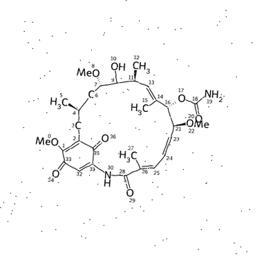 COC1=C2C[C@@H](C)C[C@H](OC)C(O)[C@@H](C)/C=C(\C)[C@H](OC(N)=O)[C@@H](OC)/C=C\C=C(/C)C(=O)NC(=CC1=O)C2=O